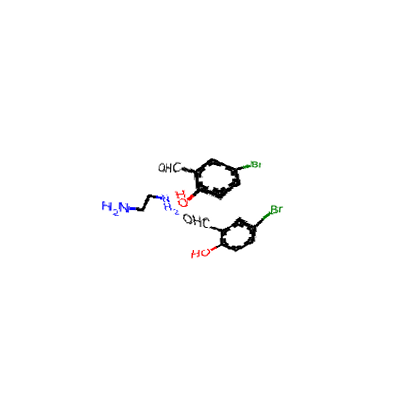 NCCN.O=Cc1cc(Br)ccc1O.O=Cc1cc(Br)ccc1O